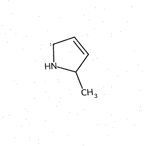 CC1C=C[C]N1